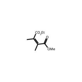 CCOC(=O)C(C)=C(C)C(=O)OC